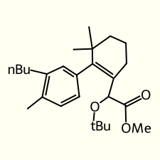 CCCCc1cc(C2=C(C(OC(C)(C)C)C(=O)OC)CCCC2(C)C)ccc1C